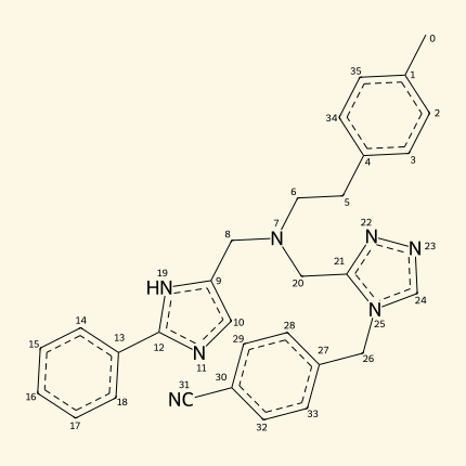 Cc1ccc(CCN(Cc2cnc(-c3ccccc3)[nH]2)Cc2nncn2Cc2ccc(C#N)cc2)cc1